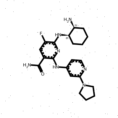 NC(=O)c1cc(F)c(N[C@@H]2CCCC[C@@H]2N)nc1Nc1ccnc(N2CCCC2)c1